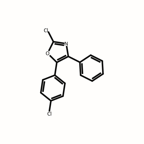 Clc1ccc(-c2oc(Cl)nc2-c2ccccc2)cc1